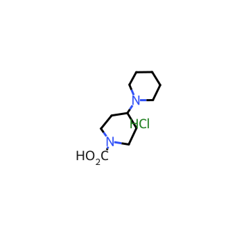 Cl.O=C(O)N1CCC(N2CCCCC2)CC1